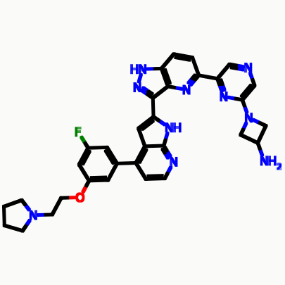 NC1CN(c2cncc(-c3ccc4[nH]nc(-c5cc6c(-c7cc(F)cc(OCCN8CCCC8)c7)ccnc6[nH]5)c4n3)n2)C1